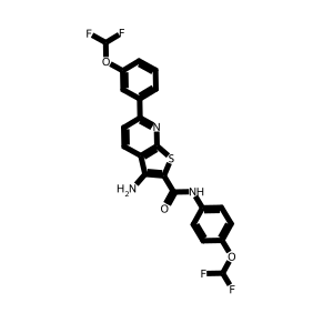 Nc1c(C(=O)Nc2ccc(OC(F)F)cc2)sc2nc(-c3cccc(OC(F)F)c3)ccc12